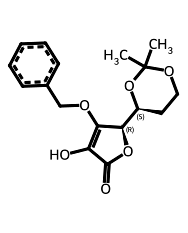 CC1(C)OCC[C@@H]([C@H]2OC(=O)C(O)=C2OCc2ccccc2)O1